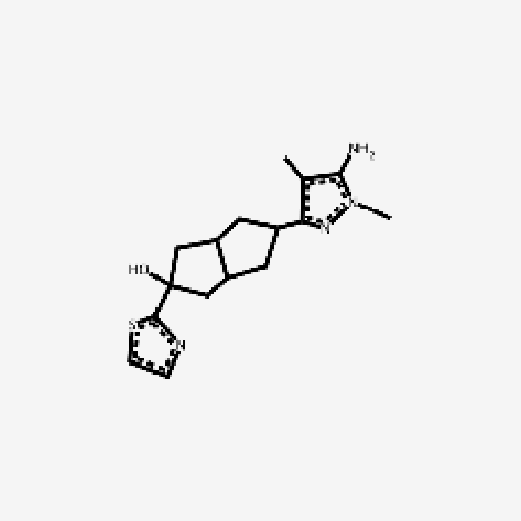 Cc1c(C2CC3CC(O)(c4nccs4)CC3C2)nn(C)c1N